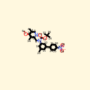 COc1c(C)cnc(CN(C(=O)OC(C)(C)C)c2cc(C)cc(-c3ccc([N+](=O)[O-])cc3)c2)c1C